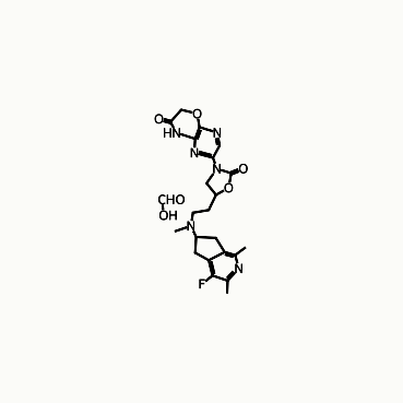 Cc1nc(C)c2c(c1F)CC(N(C)CCC1CN(c3cnc4c(n3)NC(=O)CO4)C(=O)O1)C2.O=CO